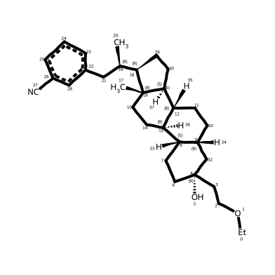 CCOCC[C@@]1(O)CC[C@H]2[C@H](CC[C@@H]3[C@@H]2CC[C@]2(C)[C@@H]([C@H](C)Cc4cccc(C#N)c4)CC[C@@H]32)C1